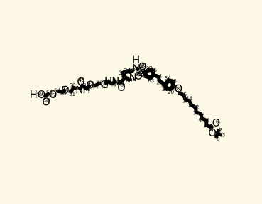 CC(C)(C)OC(=O)CCCCCCCCCCCOc1ccc(CCc2ccc(S(=O)(=O)Nc3ccc(C(=O)NCCOCCOCC(=O)NCCOCCOCC(=O)O)cn3)cc2)cc1